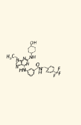 CCn1cnc2c(Nc3cccc(C(=O)NCc4ccc(C(F)(F)F)cc4)c3)nc(NC3CCC(O)CC3)nc21